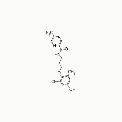 Cc1cc(O)cc(Cl)c1OCCCNC(=O)c1ccc(C(F)(F)F)cn1